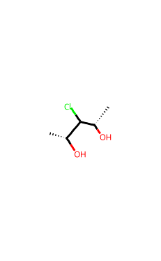 C[C@H](O)C(Cl)[C@@H](C)O